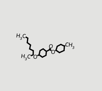 CCCCCCC(C)OC1CCC(C(=O)OC2CCC(C)CC2)CC1